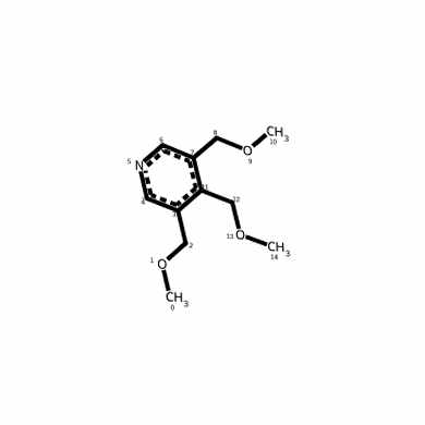 COCc1[c]ncc(COC)c1COC